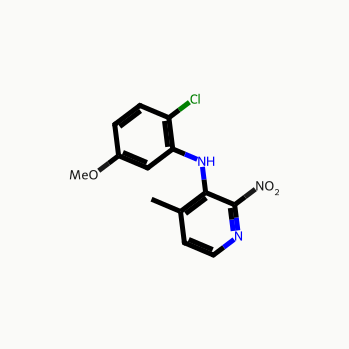 COc1ccc(Cl)c(Nc2c(C)ccnc2[N+](=O)[O-])c1